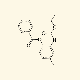 CCOC(=O)N(C)c1cc(C)cc(C)c1OC(=O)c1ccccc1